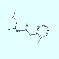 COCC(C)NC(=O)Oc1ncccc1C